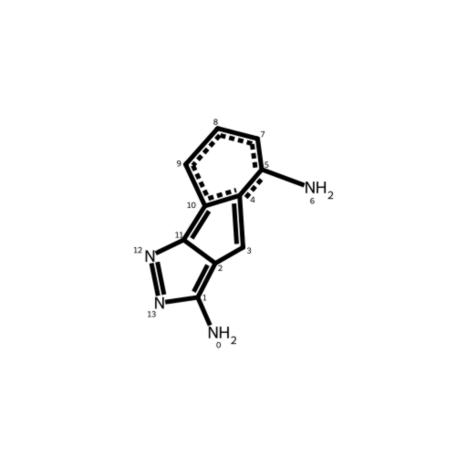 NC1=C2C=c3c(N)cccc3=C2N=N1